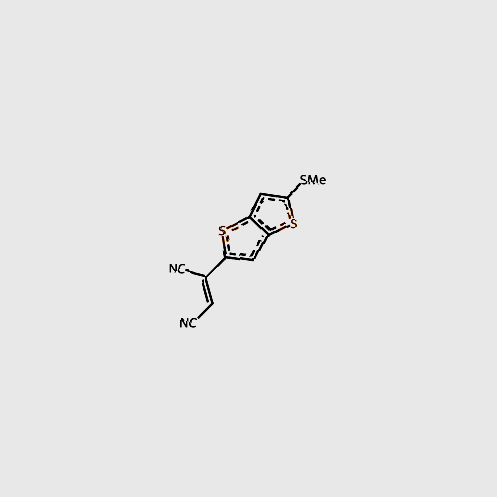 CSc1cc2sc(C(C#N)=CC#N)cc2s1